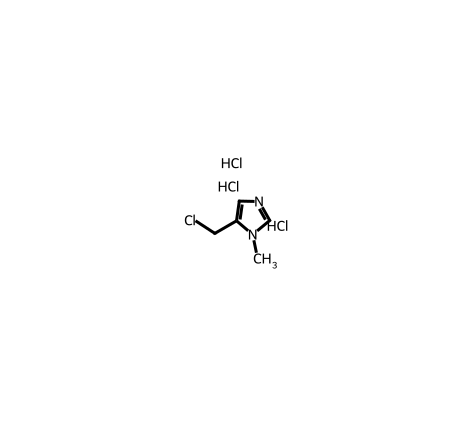 Cl.Cl.Cl.Cn1cncc1CCl